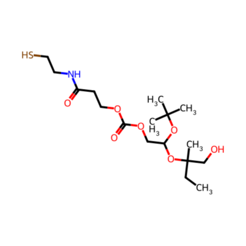 CCC(C)(CO)OC(COC(=O)OCCC(=O)NCCS)OC(C)(C)C